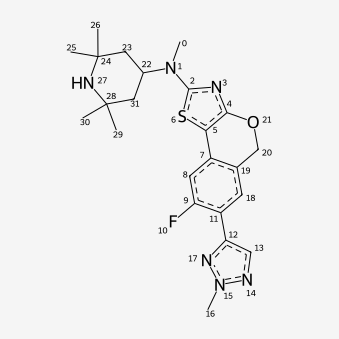 CN(c1nc2c(s1)-c1cc(F)c(-c3cnn(C)n3)cc1CO2)C1CC(C)(C)NC(C)(C)C1